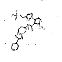 Cn1ncc(-c2nc(CCC(F)(F)F)cs2)c1C(=O)NC1CCn2nc(-c3ccccc3)nc2C1